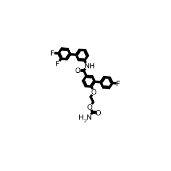 NC(=O)OCCOc1ccc(C(=O)Nc2cccc(-c3ccc(F)c(F)c3)c2)cc1-c1ccc(F)cc1